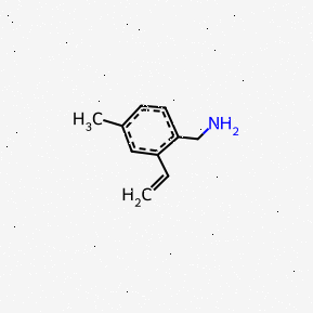 C=Cc1cc(C)ccc1CN